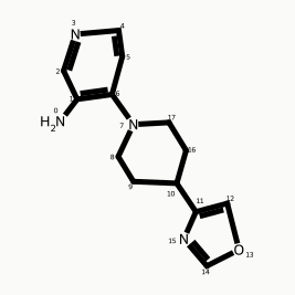 Nc1cnccc1N1CCC(c2cocn2)CC1